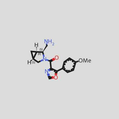 COc1ccc(-c2ocnc2C(=O)N2C[C@H]3C[C@H]3[C@H]2CN)cc1